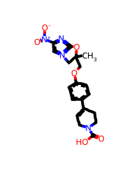 CC1(COc2ccc(C3=CCN(C(=O)O)CC3)cc2)Cn2cc([N+](=O)[O-])nc2O1